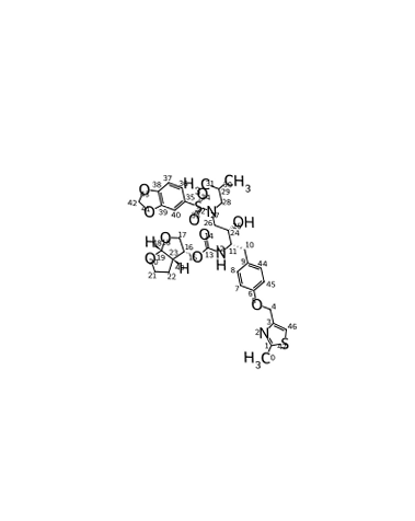 Cc1nc(COc2ccc(C[C@H](NC(=O)O[C@H]3CO[C@H]4OCC[C@H]43)[C@@H](O)CN(CC(C)C)S(=O)(=O)c3ccc4c(c3)OCO4)cc2)cs1